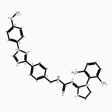 Cc1cccc(C)c1N1CCS/C1=N\C(=O)NCc1ccc(-c2ncn(-c3ccc(OC(F)(F)F)cc3)n2)cc1